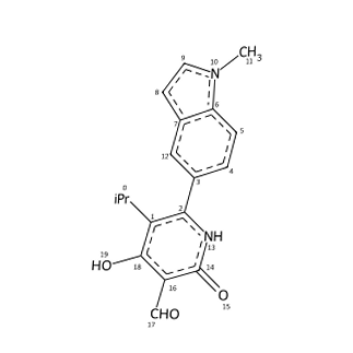 CC(C)c1c(-c2ccc3c(ccn3C)c2)[nH]c(=O)c(C=O)c1O